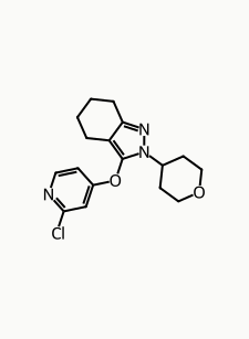 Clc1cc(Oc2c3c(nn2C2CCOCC2)CCCC3)ccn1